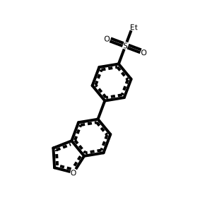 CCS(=O)(=O)c1ccc(-c2ccc3occc3c2)cc1